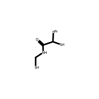 CCCC(S)C(=O)NCS